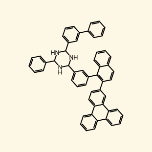 c1ccc(-c2cccc(C3NC(c4ccccc4)NC(c4cccc(-c5c(-c6ccc7c8ccccc8c8ccccc8c7c6)ccc6ccccc56)c4)N3)c2)cc1